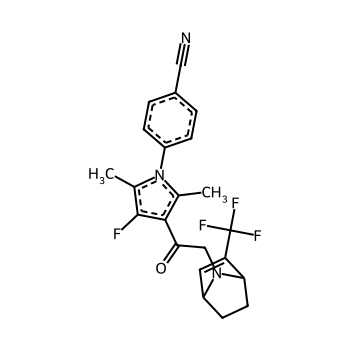 Cc1c(F)c(C(=O)CN2C3C=C(C(F)(F)F)C2CC3)c(C)n1-c1ccc(C#N)cc1